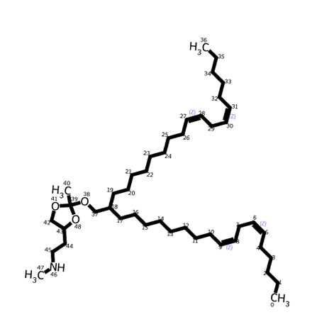 CCCCC/C=C\C/C=C\CCCCCCCCC(CCCCCCCC/C=C\C/C=C\CCCCC)COC1(C)OCC(CCNC)O1